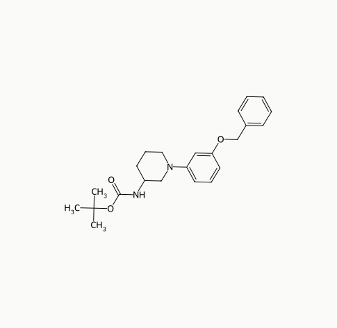 CC(C)(C)OC(=O)NC1CCCN(c2cccc(OCc3ccccc3)c2)C1